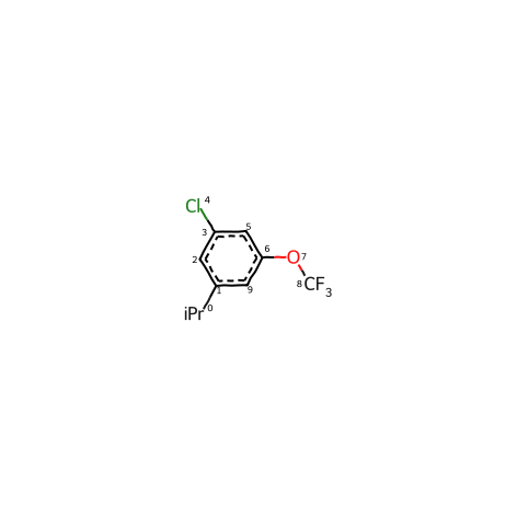 [CH2]C(C)c1cc(Cl)cc(OC(F)(F)F)c1